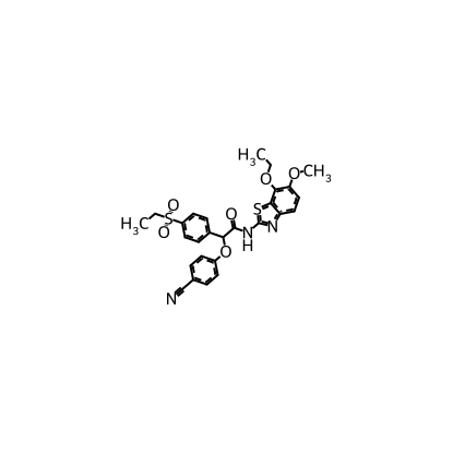 CCOc1c(OC)ccc2nc(NC(=O)C(Oc3ccc(C#N)cc3)c3ccc(S(=O)(=O)CC)cc3)sc12